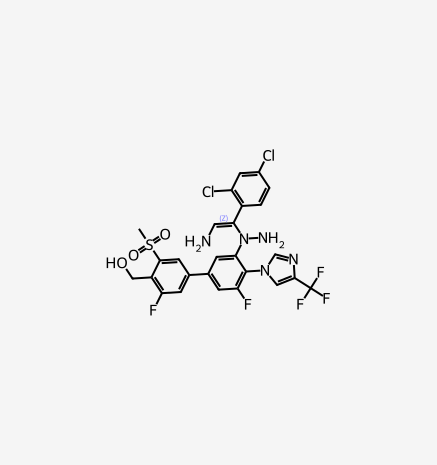 CS(=O)(=O)c1cc(-c2cc(F)c(-n3cnc(C(F)(F)F)c3)c(N(N)/C(=C\N)c3ccc(Cl)cc3Cl)c2)cc(F)c1CO